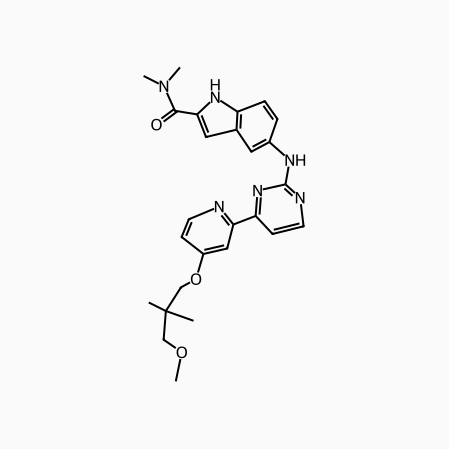 COCC(C)(C)COc1ccnc(-c2ccnc(Nc3ccc4[nH]c(C(=O)N(C)C)cc4c3)n2)c1